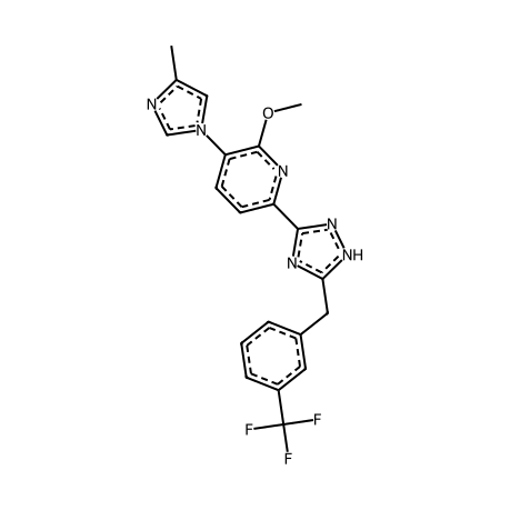 COc1nc(-c2n[nH]c(Cc3cccc(C(F)(F)F)c3)n2)ccc1-n1cnc(C)c1